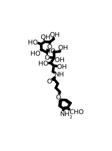 Nc1cc(OCCCC(=O)NCC(O)C(O)[C@](O)(O[C@@H]2OC(CO)[C@H](O)C(O)C2O)C(O)CO)ccc1C=O